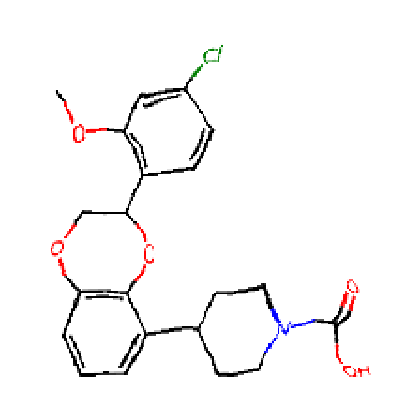 COc1cc(Cl)ccc1C1COc2cccc(C3CCN(C(=O)O)CC3)c2O1